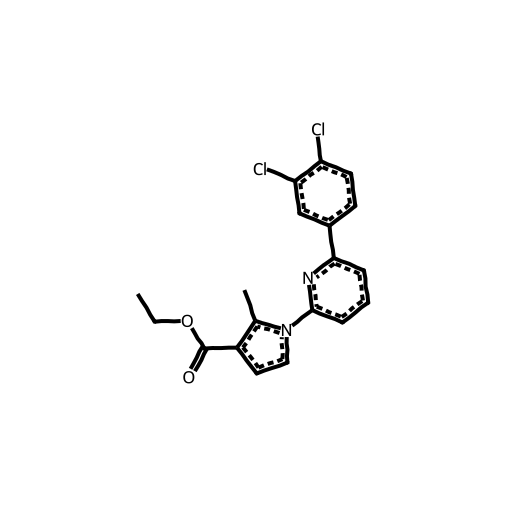 CCOC(=O)c1ccn(-c2cccc(-c3ccc(Cl)c(Cl)c3)n2)c1C